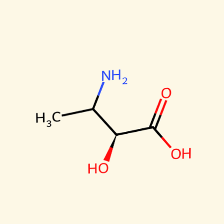 CC(N)[C@H](O)C(=O)O